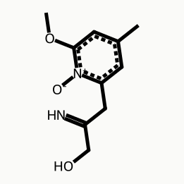 COc1cc(C)cc(CC(=N)CO)[n+]1[O-]